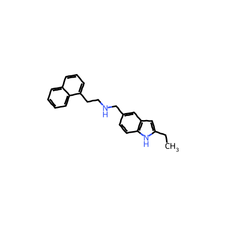 CCc1cc2cc(CNCCc3cccc4ccccc34)ccc2[nH]1